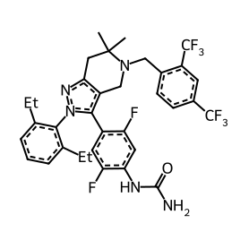 CCc1cccc(CC)c1-n1nc2c(c1-c1cc(F)c(NC(N)=O)cc1F)CN(Cc1ccc(C(F)(F)F)cc1C(F)(F)F)C(C)(C)C2